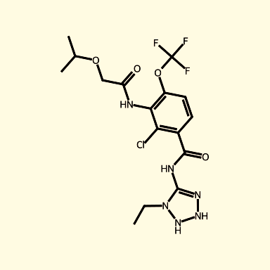 CCN1NNN=C1NC(=O)c1ccc(OC(F)(F)F)c(NC(=O)COC(C)C)c1Cl